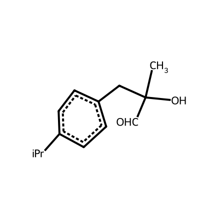 CC(C)c1ccc(CC(C)(O)C=O)cc1